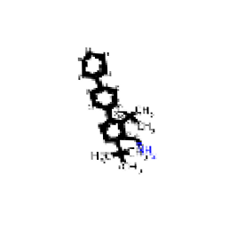 CC(C)(C)c1ccc(-c2ccc(-c3ccccc3)cc2)c(C(C)(C)C)c1CN